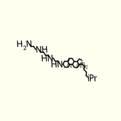 CC(C)CCC[C@@H](C)[C@H]1CCC2C3CC=C4CC(NCCCNCCCCNCCCN)CC[C@]4(C)C3CC[C@@]21C